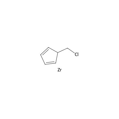 ClCC1C=CC=C1.[Zr]